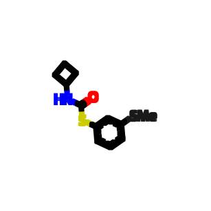 CSc1cccc(SC(=O)NC2CCC2)c1